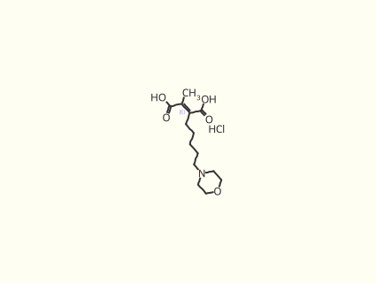 C/C(C(=O)O)=C(/CCCCCN1CCOCC1)C(=O)O.Cl